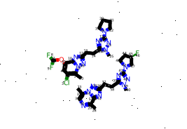 Cc1c(Cl)cc(OC(F)F)c2nc(CCc3nc(N4CCCC4)nn3C)nn12.Cc1ncc(C)n2nc(CCc3nc(N4CC[C@@H](F)C4)nn3C)nc12